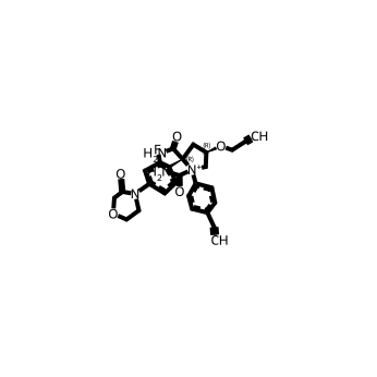 C#CCO[C@@H]1C[C@](C(N)=O)(c2ccc(N3CCOCC3=O)cc2F)[N+](C(N)=O)(c2ccc(C#C)cc2)C1